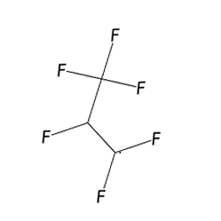 F[C](F)C(F)C(F)(F)F